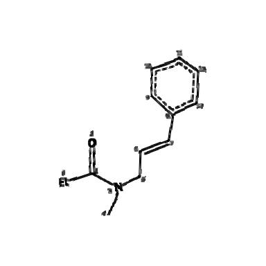 CCC(=O)N(C)C/C=C/c1ccccc1